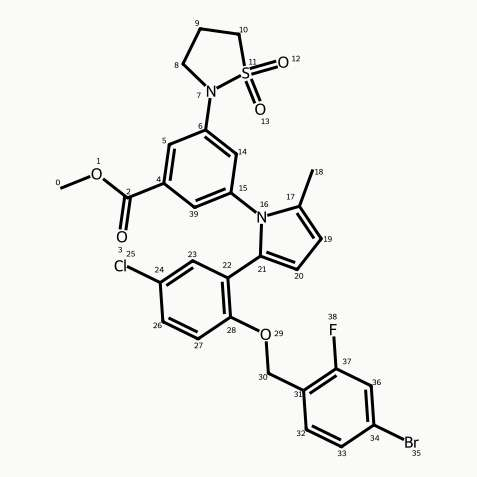 COC(=O)c1cc(N2CCCS2(=O)=O)cc(-n2c(C)ccc2-c2cc(Cl)ccc2OCc2ccc(Br)cc2F)c1